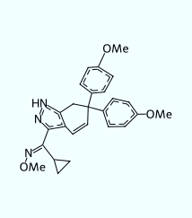 CO/N=C(/c1n[nH]c2c1C=CC(c1ccc(OC)cc1)(c1ccc(OC)cc1)C2)C1CC1